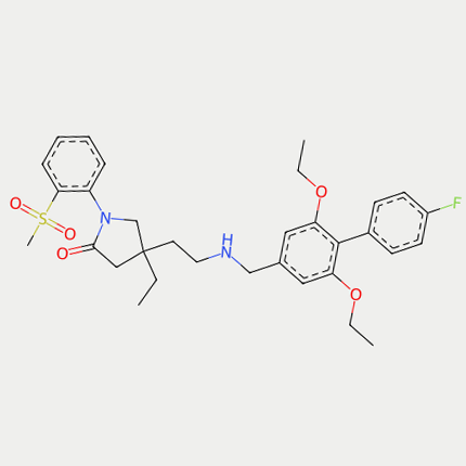 CCOc1cc(CNCCC2(CC)CC(=O)N(c3ccccc3S(C)(=O)=O)C2)cc(OCC)c1-c1ccc(F)cc1